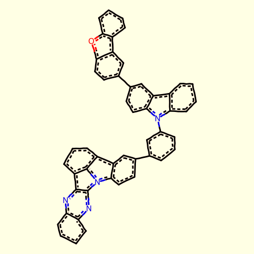 c1cc(-c2ccc3c(c2)c2cccc4c5nc6ccccc6nc5n3c24)cc(-n2c3ccccc3c3cc(-c4ccc5oc6ccccc6c5c4)ccc32)c1